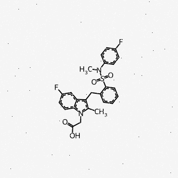 Cc1c(Cc2ccccc2S(=O)(=O)N(C)c2ccc(F)cc2)c2cc(F)ccc2n1CC(=O)O